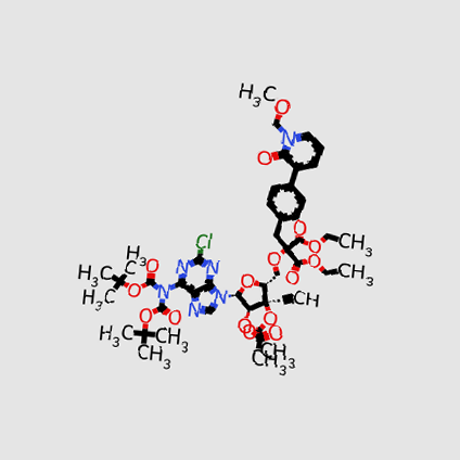 C#C[C@@]1(OC(C)=O)[C@@H](COC(Cc2ccc(-c3cccn(COC)c3=O)cc2)(C(=O)OCC)C(=O)OCC)O[C@@H](n2cnc3c(N(C(=O)OC(C)(C)C)C(=O)OC(C)(C)C)nc(Cl)nc32)[C@@H]1OC(C)=O